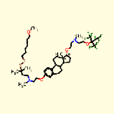 COCCCCCCSSC(C)(C)CCN(C)CCOc1ccc2c(c1)CCC1C2CC[C@@]2(C)C1CC[C@@H]2OCCN(C)CCOC(C(F)(F)F)(C(F)(F)F)C(F)(F)F